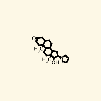 CC12CC3OC3CC1CCC1C2CCC2(C)C(O)C(N3CCCC3)CC12